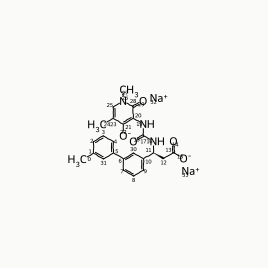 Cc1cccc(-c2cccc([C@H](CC(=O)[O-])NC(=O)Nc3c([O-])c(C)cn(C)c3=O)c2)c1.[Na+].[Na+]